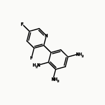 Nc1cc(N)c(N)c(-c2ncc(F)cc2F)c1